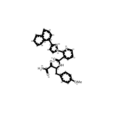 COc1ccc(CC(NC(=O)c2cccnc2-n2ccc(-c3cccc4ccccc34)n2)C(=O)C(N)=O)cc1